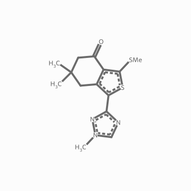 CSc1sc(-c2ncn(C)n2)c2c1C(=O)CC(C)(C)C2